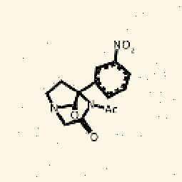 CC(=O)N1C(=O)CN2CCC1(c1cccc([N+](=O)[O-])c1)C2=O